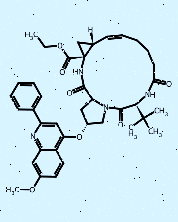 CCOC(=O)[C@@]12C[C@@H]1/C=C\CCCC(=O)N[C@@H](C(C)(C)C)C(=O)N1C[C@H](Oc3cc(-c4ccccc4)nc4cc(OC)ccc34)CC1C(=O)N2